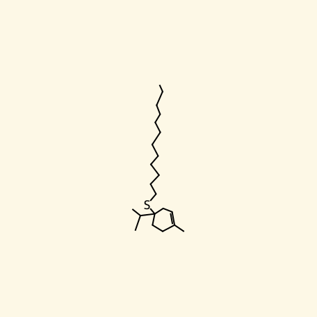 CCCCCCCCCCCCSC1(C(C)C)CC=C(C)CC1